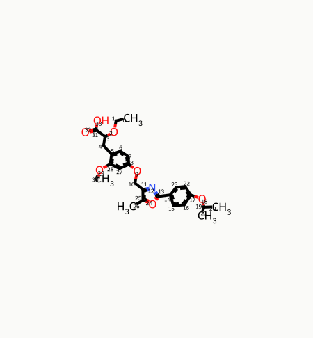 CCOC(Cc1ccc(OCc2nc(-c3ccc(OC(C)C)cc3)oc2C)cc1OC)C(=O)O